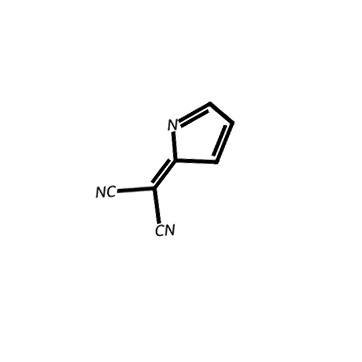 N#CC(C#N)=C1C=CC=N1